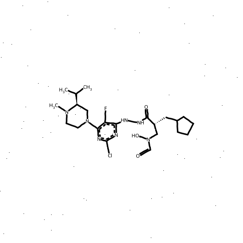 CC(C)[C@H]1CN(c2nc(Cl)nc(NNC(=O)[C@H](CC3CCCC3)CN(O)C=O)c2F)CCN1C